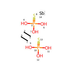 CC.CC.OP(O)(O)=S.OP(O)(O)=S.[Sb]